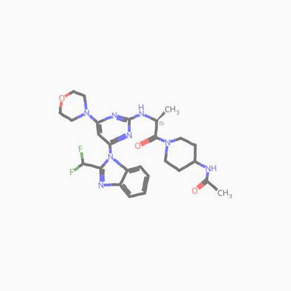 CC(=O)NC1CCN(C(=O)[C@H](C)Nc2nc(N3CCOCC3)cc(-n3c(C(F)F)nc4ccccc43)n2)CC1